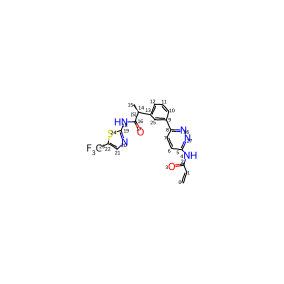 C=CC(=O)Nc1ccc(-c2cccc([C@H](C)C(=O)Nc3ncc(C(F)(F)F)s3)c2)nn1